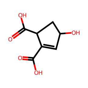 O=C(O)C1=CC(O)CC1C(=O)O